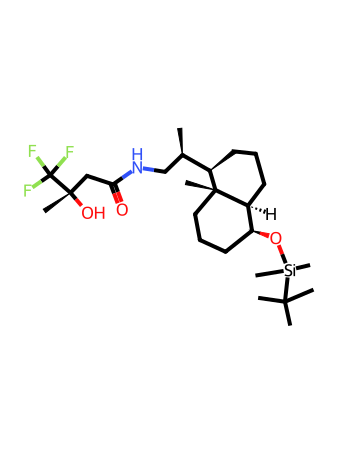 C[C@H](CNC(=O)C[C@](C)(O)C(F)(F)F)[C@H]1CCC[C@H]2[C@@H](O[Si](C)(C)C(C)(C)C)CCC[C@]12C